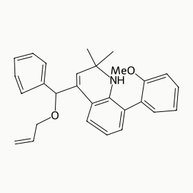 C=CCOC(C1=CC(C)(C)Nc2c1cccc2-c1ccccc1OC)c1ccccc1